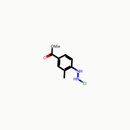 COC(=O)c1ccc(NNCl)c(C)c1